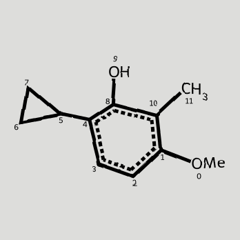 COc1ccc(C2CC2)c(O)c1C